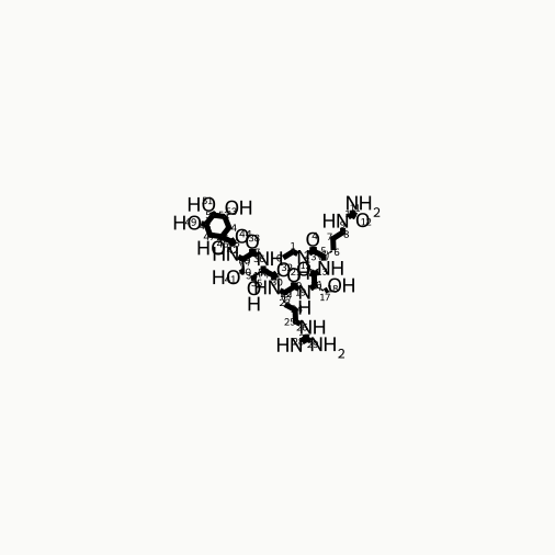 CCNC(=O)[C@H](CCCNC(N)=O)NC(=O)[C@H](CO)NC(=O)[C@H](CCCNC(=N)N)NC(=O)[C@@H](CO)NC(=O)[C@@H](CO)NC(=O)C1(O)CC(O)C(O)C(O)C1